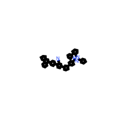 N#Cc1cc(-c2cccc(-c3ccc(-c4nc(-c5ccccc5)nc(-c5ccccc5-c5ccccc5)n4)cc3)c2)ccc1-c1ccc(-c2cc3ccccc3c3ccccc23)cc1